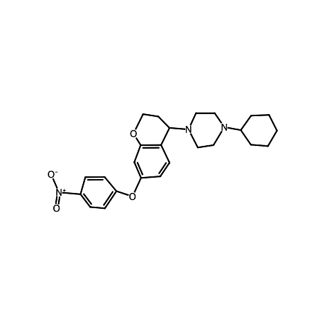 O=[N+]([O-])c1ccc(Oc2ccc3c(c2)OCCC3N2CCN(C3CCCCC3)CC2)cc1